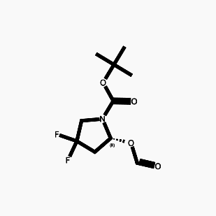 CC(C)(C)OC(=O)N1CC(F)(F)C[C@H]1OC=O